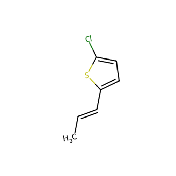 C/C=C/c1ccc(Cl)s1